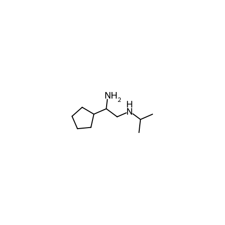 CC(C)NCC(N)C1CCCC1